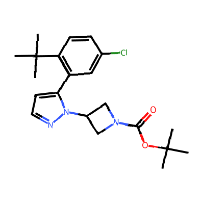 CC(C)(C)OC(=O)N1CC(n2nccc2-c2cc(Cl)ccc2C(C)(C)C)C1